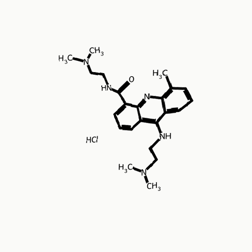 Cc1cccc2c(NCCN(C)C)c3cccc(C(=O)NCCN(C)C)c3nc12.Cl